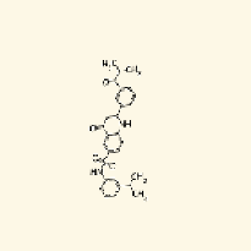 CC(C)C(=O)c1cccc(C2CC(=O)c3cc(S(=O)(=O)Nc4cccc(C(C)C)c4)ccc3N2)c1